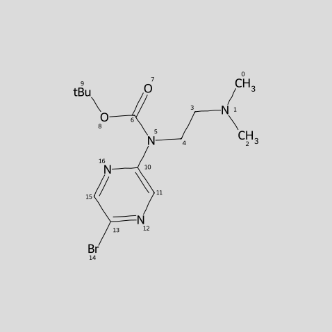 CN(C)CCN(C(=O)OC(C)(C)C)c1cnc(Br)cn1